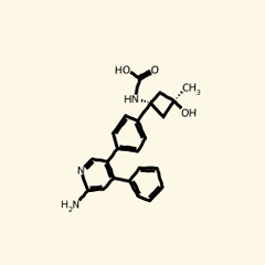 C[C@]1(O)C[C@@](NC(=O)O)(c2ccc(-c3cnc(N)cc3-c3ccccc3)cc2)C1